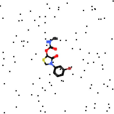 CC(C)(C)NC(=O)OC1SCN(c2cccc(Br)c2)C1=O